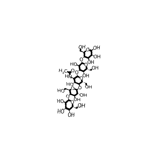 CC(=O)N[C@H]1[C@H](O[C@H]2[C@@H](O)[C@@H](CO)O[C@@H](O[C@H]3[C@H](O)[C@@H](O)[C@H](O)O[C@@H]3CO)[C@@H]2O)O[C@H](CO)[C@@H](O[C@@H]2O[C@H](CO)[C@H](O[C@@H]3O[C@H](CO)[C@H](O)[C@H](O)[C@H]3O)[C@H](O)[C@H]2O)[C@@H]1O